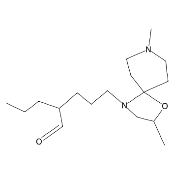 CCCC(C=O)CCCN1CC(C)OC12CCN(C)CC2